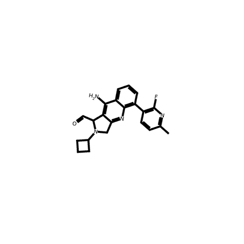 Cc1ccc(-c2cccc3c(N)c4c(nc23)CN(C2CCC2)C4C=O)c(F)n1